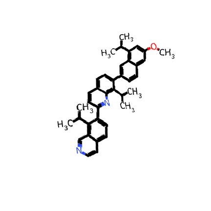 COc1cc(C(C)C)c2cc(-c3ccc4ccc(-c5ccc6ccncc6c5C(C)C)nc4c3C(C)C)ccc2c1